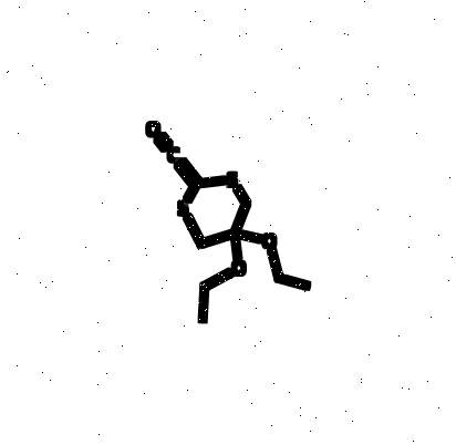 CCOC1(OCC)CSC(=C=O)SC1